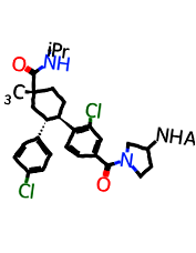 CC(=O)NC1CCN(C(=O)c2ccc([C@@H]3CC[C@@](C)(C(=O)NC(C)C)C[C@H]3c3ccc(Cl)cc3)c(Cl)c2)C1